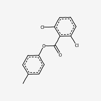 Cc1ccc(OC(=O)c2c(Cl)cccc2Cl)cc1